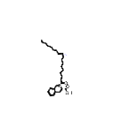 CCCCCCCC/C=C\CCCCCCCC(=O)N1Cc2ccccc2C[C@H]1C(=O)O